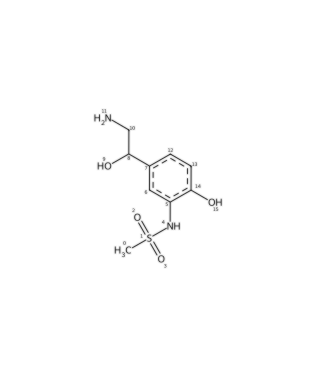 CS(=O)(=O)Nc1cc(C(O)CN)ccc1O